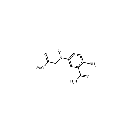 CCN(CC(=O)NC)c1ccc(N)c(C(N)=O)c1